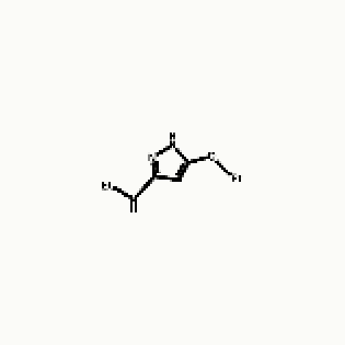 CCNc1cc(OCC)[nH]n1